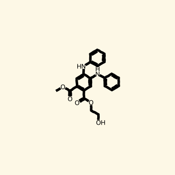 COC(=O)c1cc(Nc2ccccc2)c(Nc2ccccc2)cc1C(=O)OCCO